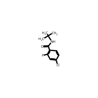 CC(C)(C)NC(=O)c1ccc(Cl)cc1F